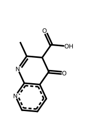 CC1=Nc2ncccc2C(=O)C1C(=O)O